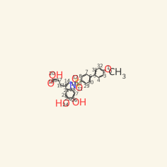 COc1ccc(-c2ccc(S(=O)(=O)n3cc(CCC(=O)O)c4cc(O)c(O)cc43)cc2)cc1